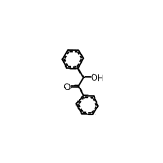 O=C(c1cc[c]cc1)C(O)c1ccccc1